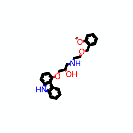 COc1ccccc1COCCNCC(O)COc1cccc2[nH]c3ccccc3c12